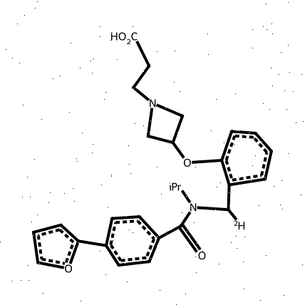 [2H]C(c1ccccc1OC1CN(CCC(=O)O)C1)N(C(=O)c1ccc(-c2ccco2)cc1)C(C)C